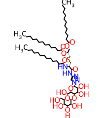 CCCCCCCCCCCCC(=O)N[C@H](CSC[C@@H](COC(=O)CCCCCCCCCCCC)OC(=O)CCCCCCCCCCCC)C(=O)Nc1cn([C@@H]2OC(CO)C(OC3OC(CO)C(O)C(O)C3O)C(O)C2O)nn1